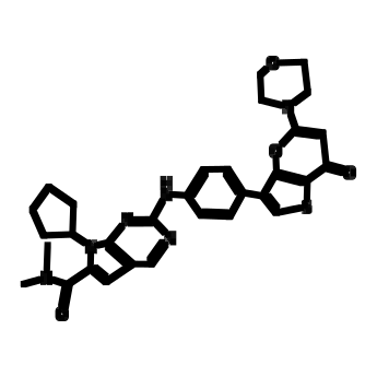 CN(C)C(=O)c1cc2cnc(Nc3ccc(-c4csc5c(=O)cc(N6CCOCC6)oc45)cc3)nc2n1C1CCCC1